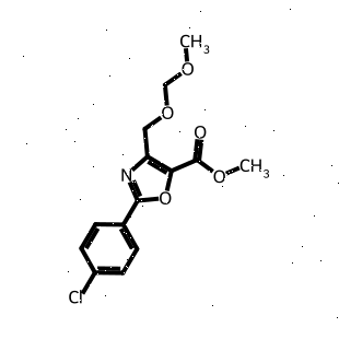 COCOCc1nc(-c2ccc(Cl)cc2)oc1C(=O)OC